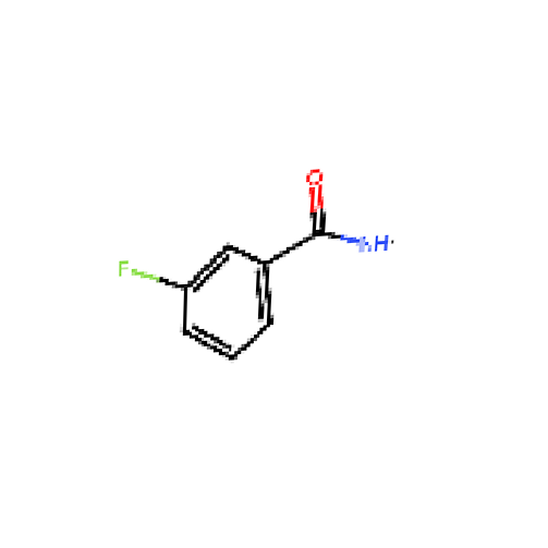 [NH]C(=O)c1cccc(F)c1